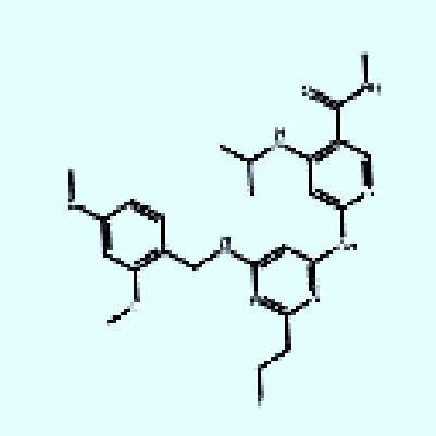 CNC(=O)c1cnc(Nc2cc(NCc3ccc(OC)cc3OC)nc(CCF)n2)cc1NC(C)C